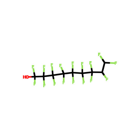 OC(F)(F)C(F)(F)C(F)(F)C(F)(F)C(F)(F)C(F)(F)C(F)(F)C(F)C(F)F